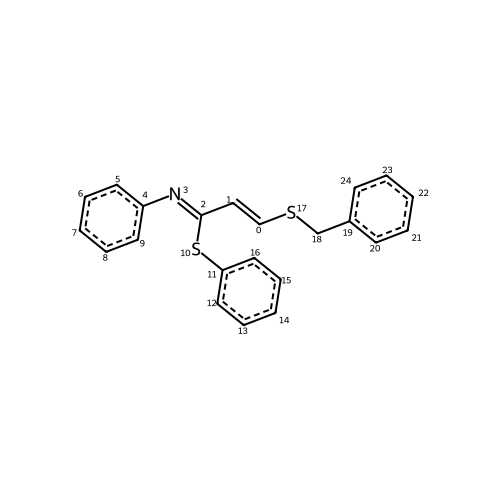 C(=CC(=Nc1ccccc1)Sc1ccccc1)SCc1ccccc1